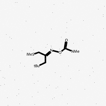 CNC(=O)ON=C(CSC)CC(C)(C)C